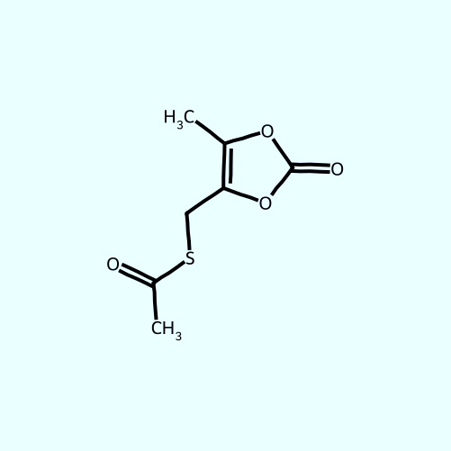 CC(=O)SCc1oc(=O)oc1C